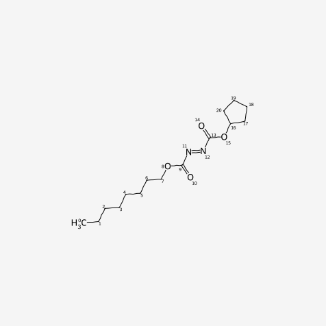 CCCCCCCCOC(=O)/N=N/C(=O)OC1CCCC1